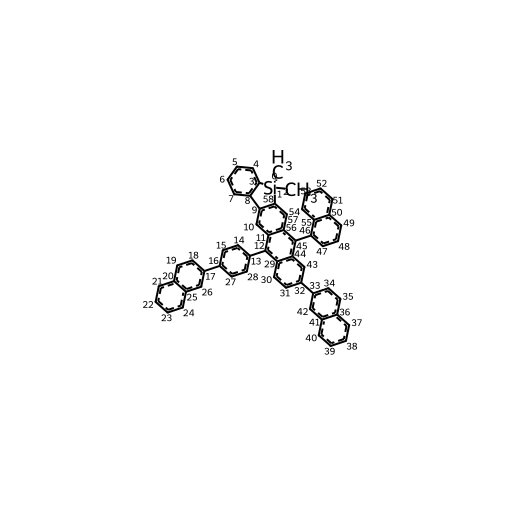 C[Si]1(C)c2ccccc2-c2cc3c(-c4ccc(-c5ccc6ccccc6c5)cc4)c4ccc(-c5ccc6ccccc6c5)cc4c(-c4cccc5ccccc45)c3cc21